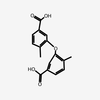 Cc1ccc(C(=O)O)cc1Oc1cc(C(=O)O)ccc1C